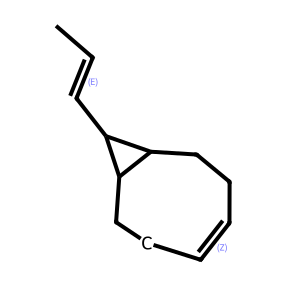 C/C=C/C1C2CC/C=C\CCC12